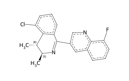 C[C@@H]1N=C(c2cnc3c(F)cccc3c2)c2cccc(Cl)c2[C@H]1C